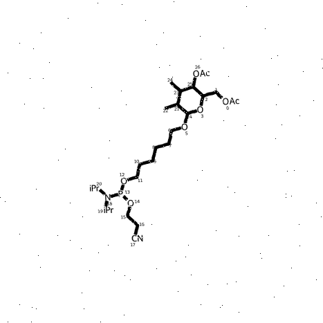 CC(=O)OCC1OC(OCCCCCCOP(OCCC#N)N(C(C)C)C(C)C)C(C)C(C)C1OC(C)=O